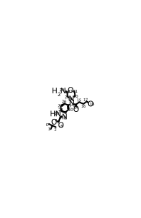 CC(C)(C)OC(=O)c1nc2cc(N(C(=O)CCC=O)N3CCOC(N)C3)ccc2[nH]1